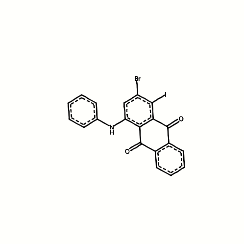 O=C1c2ccccc2C(=O)c2c(I)c(Br)cc(Nc3ccccc3)c21